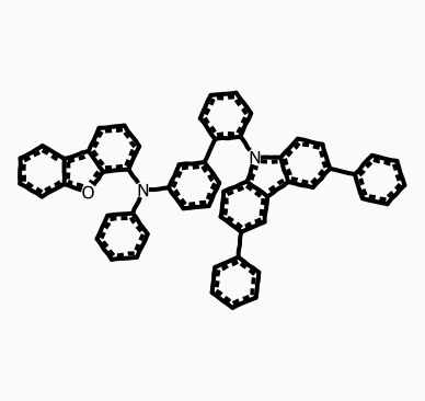 c1ccc(-c2ccc3c(c2)c2cc(-c4ccccc4)ccc2n3-c2ccccc2-c2cccc(N(c3ccccc3)c3cccc4c3oc3ccccc34)c2)cc1